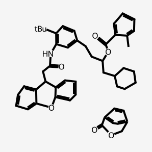 Cc1ccccc1C(=O)OC(CCc1ccc(C(C)(C)C)c(NC(=O)CC2c3ccccc3Oc3ccccc32)c1)CC1CCCCC1.O=C1OCc2ccc1cc2